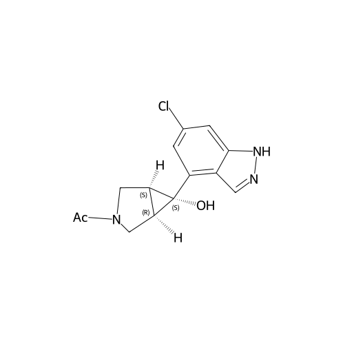 CC(=O)N1C[C@@H]2[C@H](C1)[C@]2(O)c1cc(Cl)cc2[nH]ncc12